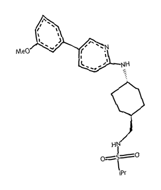 COc1cccc(-c2ccc(N[C@H]3CC[C@H](CNS(=O)(=O)C(C)C)CC3)nc2)c1